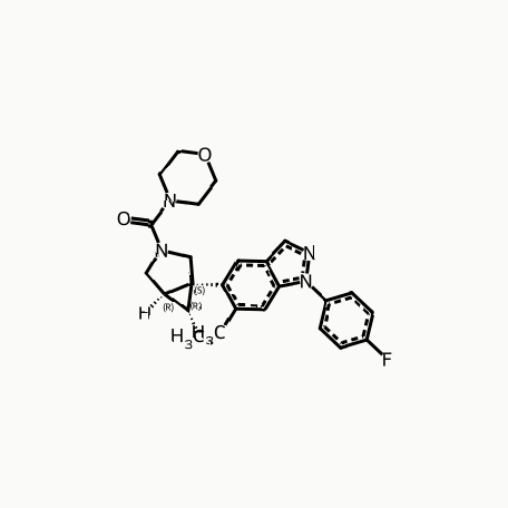 Cc1cc2c(cnn2-c2ccc(F)cc2)cc1[C@@]12CN(C(=O)N3CCOCC3)C[C@@H]1[C@H]2C